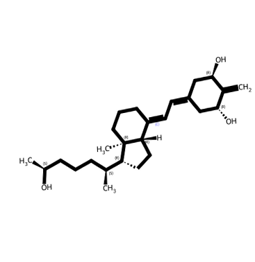 C=C1[C@H](O)CC(=C/C=C2\CCC[C@]3(C)[C@@H]([C@@H](C)CCC[C@H](C)O)CC[C@@H]23)C[C@H]1O